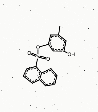 Cc1cc(O)cc(OS(=O)(=O)c2cccc3ccccc23)c1